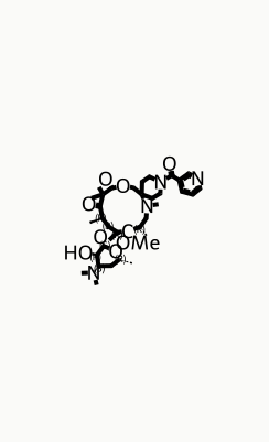 CO[C@]1(C)C[C@@H](C)CN(C)C2(CCN(C(=O)c3cccnc3)CC2)COC(=O)C(C)(C)C(=O)[C@H](C)[C@H]1O[C@@H]1O[C@H](C)C[C@H](N(C)C)[C@H]1O